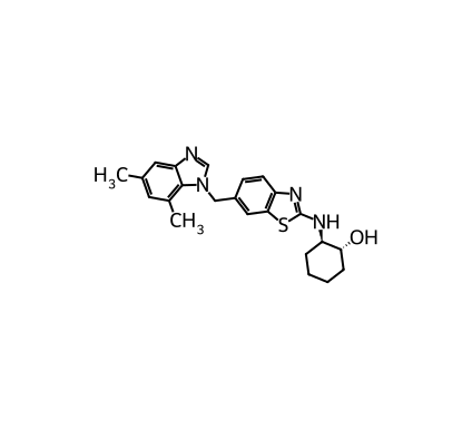 Cc1cc(C)c2c(c1)ncn2Cc1ccc2nc(N[C@@H]3CCCC[C@H]3O)sc2c1